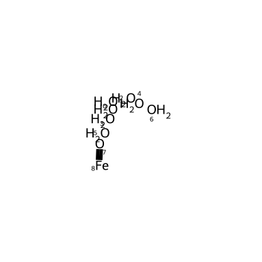 O.O.O.O.O.O.O.[O]=[Fe]